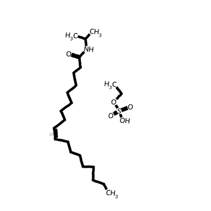 CCCCCCCC/C=C\CCCCCCCC(=O)NC(C)C.CCOS(=O)(=O)O